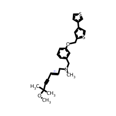 COC(C)(C)C#C/C=C/CN(C)Cc1cccc(OCc2cc(-c3ccsc3)cs2)c1